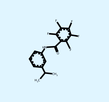 CC(C)c1cccc(NC(=O)c2c(F)c(F)c(F)c(F)c2F)c1